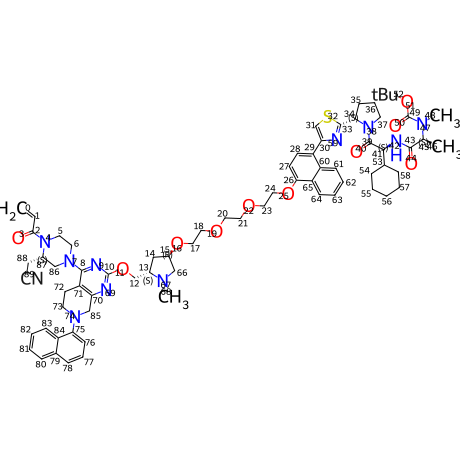 C=CC(=O)N1CCN(c2nc(OC[C@@H]3C[C@@H](OCCOCCOCCOc4ccc(-c5csc([C@@H]6CCCN6C(=O)[C@@H](NC(=O)[C@H](C)N(C)C(=O)OC(C)(C)C)C6CCCCC6)n5)c5ccccc45)CN3C)nc3c2CCN(c2cccc4ccccc24)C3)C[C@@H]1CC#N